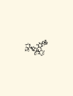 O=C1c2nn(-c3ncccc3O)cc2C(c2ccc(OC(F)(F)F)cc2)N1C1CCOCC1